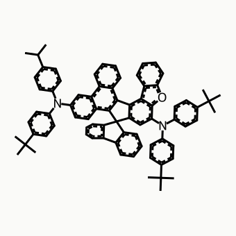 CC(C)c1ccc(N(c2ccc(C(C)(C)C)cc2)c2ccc3c4c(c5ccccc5c3c2)-c2c(cc(N(c3ccc(C(C)(C)C)cc3)c3ccc(C(C)(C)C)cc3)c3oc5ccccc5c23)C42c3ccccc3-c3ccccc32)cc1